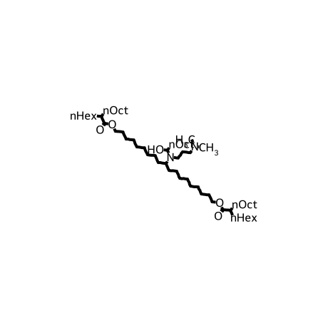 CCCCCCCCC(CCCCCC)C(=O)OCCCCCCCCCC(CCCCCCCCCOC(=O)C(CCCCCC)CCCCCCCC)N(CCCN(C)C)C(O)CCCCCCCC